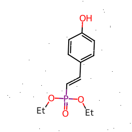 CCOP(=O)(C=Cc1ccc(O)cc1)OCC